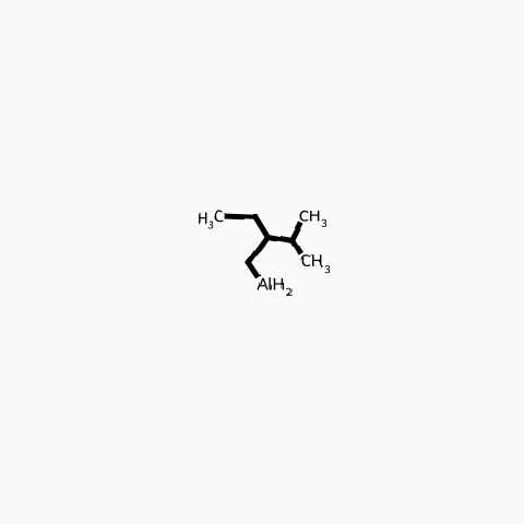 CCC([CH2][AlH2])C(C)C